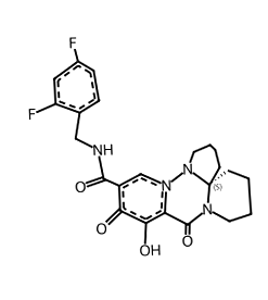 O=C(NCc1ccc(F)cc1F)c1cn2c(c(O)c1=O)C(=O)N1CCCC[C@]13CCCCN23